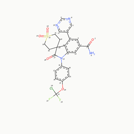 NC(=O)c1cc(-c2cncnc2)c2c(c1)N(c1ccc(OC(F)(F)Cl)cc1)C(=O)C21CCS(=O)(=O)CC1